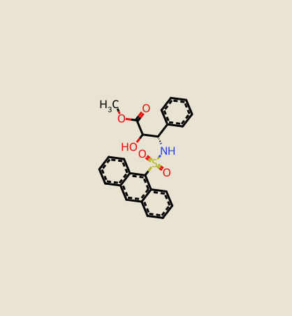 COC(=O)C(O)[C@@H](NS(=O)(=O)c1c2ccccc2cc2ccccc12)c1ccccc1